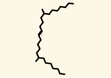 [CH2]CCCCCCC(C)CCC/C=C/CCCCC(C)CCCCCC[CH2]